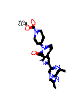 Cc1cn2cc(-c3cc4ccn(C5CCN(C(=O)OC(C)(C)C)CC5)c(=O)c4cn3)nc(C)c2n1